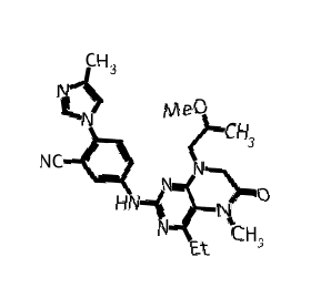 CCc1nc(Nc2ccc(-n3cnc(C)c3)c(C#N)c2)nc2c1N(C)C(=O)CN2CC(C)OC